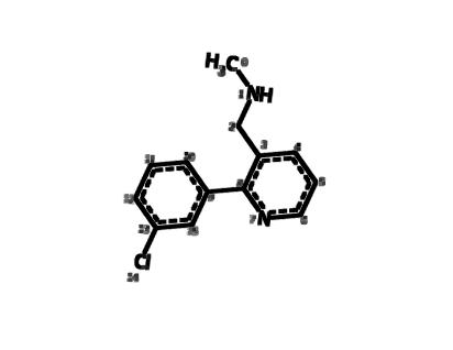 CNCc1cccnc1-c1cccc(Cl)c1